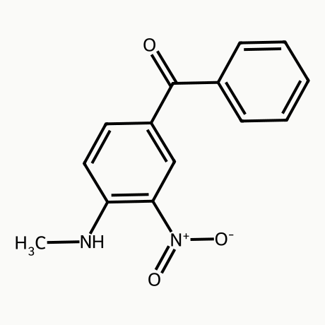 CNc1ccc(C(=O)c2ccccc2)cc1[N+](=O)[O-]